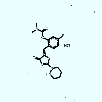 CN(C)C(=O)Oc1cc(F)ccc1C=C1SC(N2CCCCN2)=NC1=O.Cl